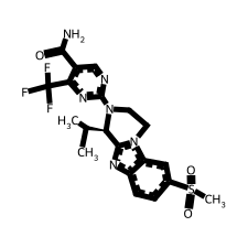 CC(C)[C@@H]1c2nc3ccc(S(C)(=O)=O)cc3n2CCN1c1ncc(C(N)=O)c(C(F)(F)F)n1